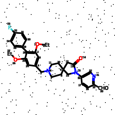 CCOc1cc(CN2CCC3(CC2)CC(=O)N(c2ccc(C=O)nc2)C3)cc(OCC)c1-c1ccc(F)cc1